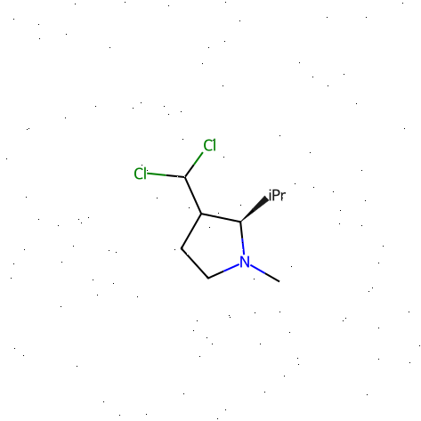 CC(C)[C@@H]1C(C(Cl)Cl)CCN1C